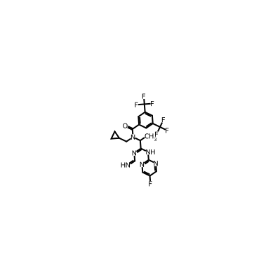 CC(/C(=N/C=N)Nc1ncc(F)cn1)N(CC1CC1)C(=O)c1cc(C(F)(F)F)cc(C(F)(F)F)c1